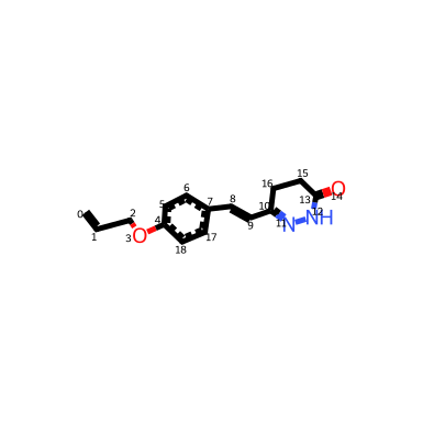 C=CCOc1ccc(C=CC2=NNC(=O)CC2)cc1